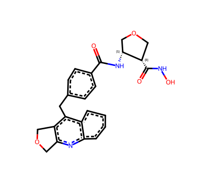 O=C(N[C@@H]1COC[C@@H]1C(=O)NO)c1ccc(Cc2c3c(nc4ccccc24)COC3)cc1